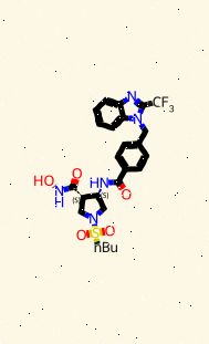 CCCCS(=O)(=O)N1C[C@H](C(=O)NO)[C@H](NC(=O)c2ccc(Cn3c(C(F)(F)F)nc4ccccc43)cc2)C1